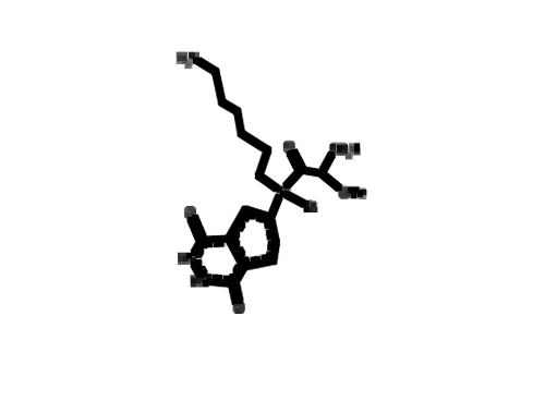 CC[N+](CCCCCCN)(C(=O)C(OC)C(=O)O)c1ccc2c(=O)[nH][nH]c(=O)c2c1